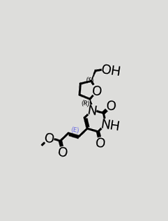 COC(=O)/C=C/c1cn([C@H]2CC[C@@H](CO)O2)c(=O)[nH]c1=O